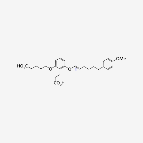 COc1ccc(CCCC/C=C/Oc2cccc(OCCCCC(=O)O)c2CCC(=O)O)cc1